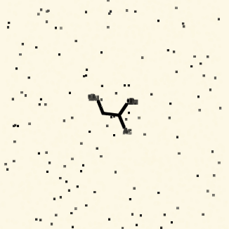 CC(=O)C(CC(C)(C)C)C(C)(C)C